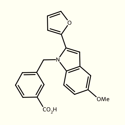 COc1ccc2c(c1)cc(-c1ccco1)n2Cc1cccc(C(=O)O)c1